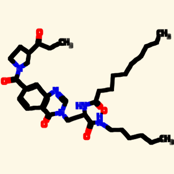 CCCCCCCCCC(=O)NC(Cn1cnc2cc(C(=O)N3CCC(C(=O)CC)C3)ccc2c1=O)C(=O)NCCCCCC